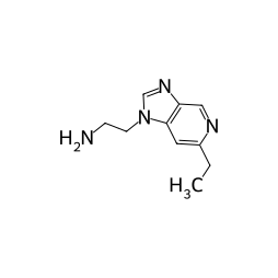 CCc1cc2c(cn1)ncn2CCN